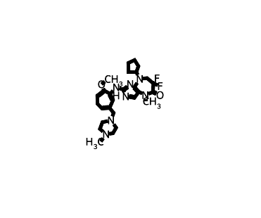 COC1=CCC=C(CN2CCN(C)CC2)C=C1Nc1ncc2c(n1)N(C1CCCC1)CC(F)(F)C(=O)N2C